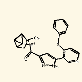 N#CN1CC2C3C1[C@]23NC(=O)c1cc(-c2cnccc2Sc2ccccc2)[nH]n1